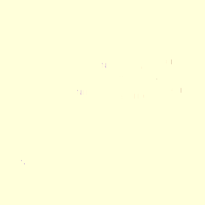 CC(C)(C)OC(=O)N1CCCC1Nc1cccc(C#N)c1